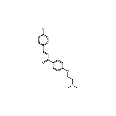 CN(C)CCNc1ccc(C(=O)C=Cc2ccc(Cl)cc2)cc1